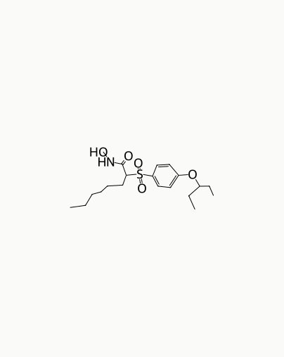 CCCCCCC(C(=O)NO)S(=O)(=O)c1ccc(OC(CC)CC)cc1